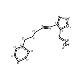 O/N=C/c1occc1C#CCCCc1ccccc1